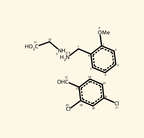 COc1ccccc1CN.NCC(=O)O.O=Cc1ccc(Cl)cc1Cl